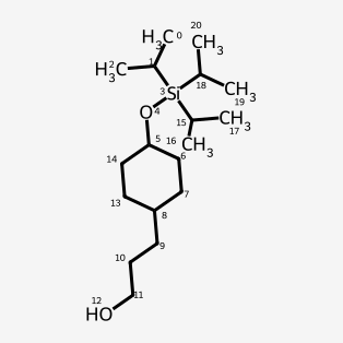 CC(C)[Si](OC1CCC(CCCO)CC1)(C(C)C)C(C)C